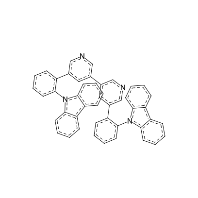 c1ccc(-n2c3ccccc3c3ccccc32)c(-c2cncc(-c3cncc(-c4ccccc4-n4c5ccccc5c5ccccc54)c3)c2)c1